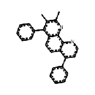 Cc1nc2c(ccc3c(-c4ccccc4)ccnc32)c(-c2ccccc2)c1C